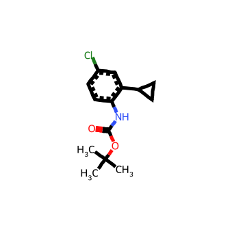 CC(C)(C)OC(=O)Nc1ccc(Cl)cc1C1CC1